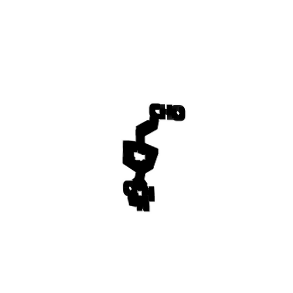 O=CC=Cc1ccc(-c2nnco2)cc1